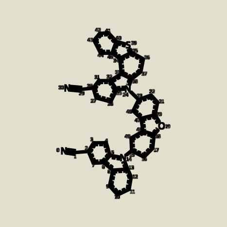 N#Cc1ccc2c(c1)c1ccccc1n2-c1ccc2oc3ccc(-n4c5ccc(C#N)cc5c5c6c(ccc54)sc4ccccc46)cc3c2c1